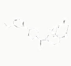 CCc1cncc(C2CCN(C(=O)N3CCC4OCC(=O)N[C@@H]4C3)CC2)c1